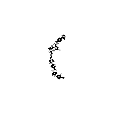 Cc1ncsc1-c1ccc([C@H](C)NC(=O)C2C[C@@H](O)CN2C(=O)[C@@H](NC(=O)COCCN2C[C@@H](C)N(c3ccc(C(=O)NC4C(C)(C)C(Oc5ccc(C#N)c(Cl)c5)C4(C)C)cn3)[C@@H](C)C2)C(C)(C)C)cc1